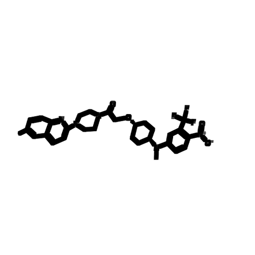 Cc1ccc2nc(N3CCN(C(=O)CO[C@H]4CC[C@H](N(C)c5ccc([N+](=O)[O-])c(C(F)(F)F)c5)CC4)CC3)ccc2c1